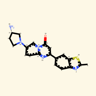 Cc1nc2ccc(-c3cc(=O)n4cc(N5CC[C@H](N)C5)ccc4n3)cc2s1